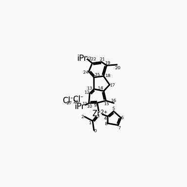 C[C](C)=[Zr+2]([C]1=CC=CC1)[c]1c(C(C)C)cc2c(c1C)Cc1c(C)cc(C(C)C)cc1-2.[Cl-].[Cl-]